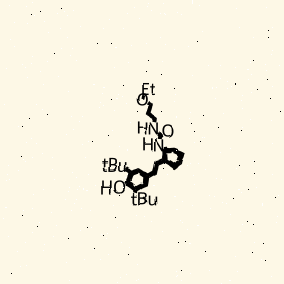 CCOCCCNC(=O)Nc1ccccc1CCc1cc(C(C)(C)C)c(O)c(C(C)(C)C)c1